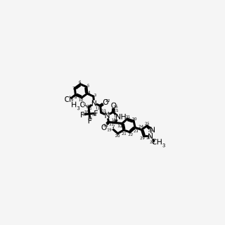 C[C@H](N(Cc1cccc(Cl)c1)C(=O)CN1C(=O)N[C@]2(CCc3cc(-c4cnn(C)c4)ccc32)C1=O)C(F)(F)F